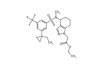 CCOC(=O)Cn1ncc2c1CCCC2N(C)S(=O)(=O)c1cc(C(F)(F)F)cc(C2(CC)CC2)c1